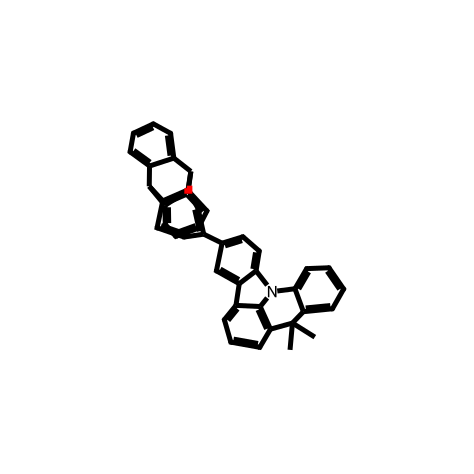 CC1(C)c2ccccc2-n2c3ccc(-c4ccc5c(c4)C4c6ccccc6C5c5ccccc54)cc3c3cccc1c32